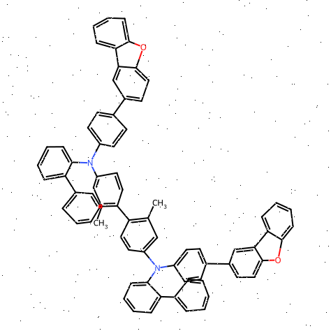 Cc1cc(N(c2ccc(-c3ccc4oc5ccccc5c4c3)cc2)c2ccccc2-c2ccccc2)ccc1-c1ccc(N(c2ccc(-c3ccc4oc5ccccc5c4c3)cc2)c2ccccc2-c2ccccc2)cc1C